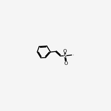 [CH2]S(=O)(=O)C=Cc1ccccc1